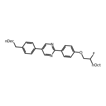 CCCCCCCCCCCc1ccc(-c2cnc(-c3ccc(OCC(F)CCCCCCCC)cc3)nc2)cc1